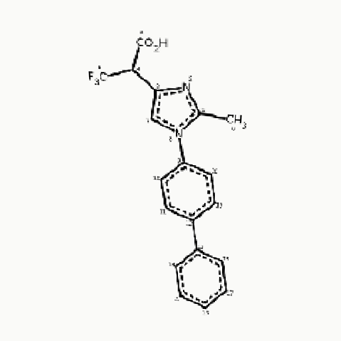 Cc1nc(C(C(=O)O)C(F)(F)F)cn1-c1ccc(-c2ccccc2)cc1